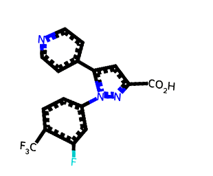 O=C(O)c1cc(-c2ccncc2)n(-c2ccc(C(F)(F)F)c(F)c2)n1